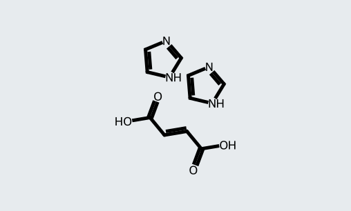 O=C(O)C=CC(=O)O.c1c[nH]cn1.c1c[nH]cn1